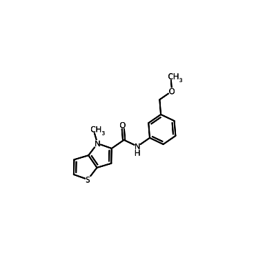 COCc1cccc(NC(=O)c2cc3sccc3n2C)c1